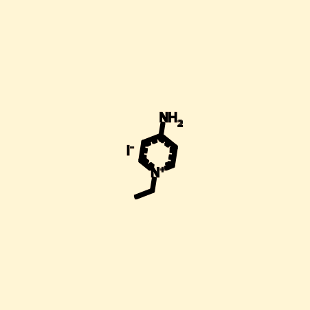 CC[n+]1ccc(N)cc1.[I-]